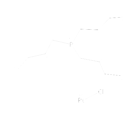 CCCCP(CCCC)CCCC.[Cl][Pt]